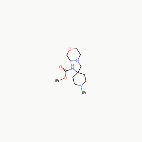 CC(C)OC(=O)NC1(CN2CCOCC2)CCN(C(C)C)CC1